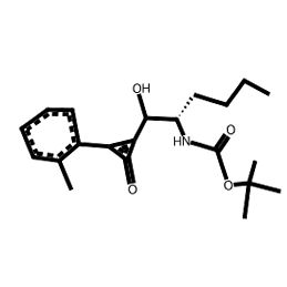 CCCC[C@H](NC(=O)OC(C)(C)C)C(O)c1c(-c2ccccc2C)c1=O